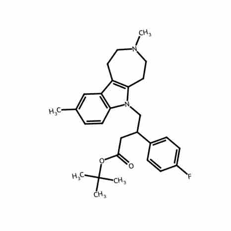 Cc1ccc2c(c1)c1c(n2CC(CC(=O)OC(C)(C)C)c2ccc(F)cc2)CCN(C)CC1